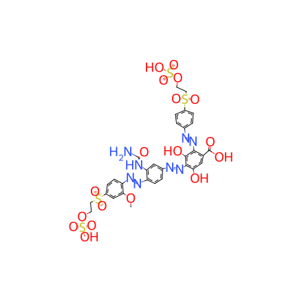 COc1cc(S(=O)(=O)CCOS(=O)(=O)O)ccc1N=Nc1ccc(N=Nc2c(O)cc(C(=O)O)c(N=Nc3ccc(S(=O)(=O)CCOS(=O)(=O)O)cc3)c2O)cc1NC(N)=O